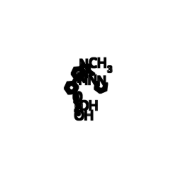 Cc1nc2ccc(-c3cccc(OC[C@H](O)CO)c3)nn2c1CNc1ccccn1